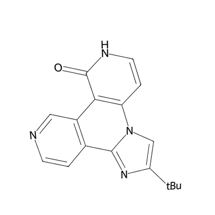 CC(C)(C)c1cn2c3cc[nH]c(=O)c3c3cnccc3c2n1